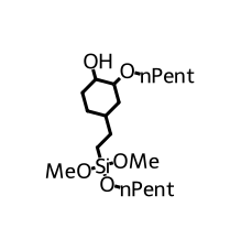 CCCCCOC1CC(CC[Si](OC)(OC)OCCCCC)CCC1O